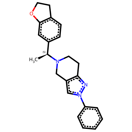 C[C@@H](c1ccc2c(c1)OCC2)N1CCc2nn(-c3ccccc3)cc2C1